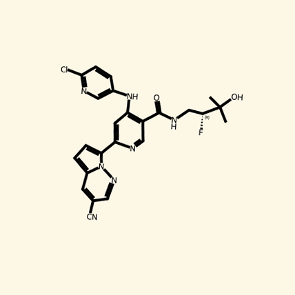 CC(C)(O)[C@H](F)CNC(=O)c1cnc(-c2ccc3cc(C#N)cnn23)cc1Nc1ccc(Cl)nc1